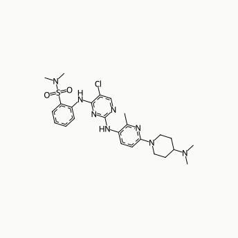 Cc1nc(N2CCC(N(C)C)CC2)ccc1Nc1ncc(Cl)c(Nc2ccccc2S(=O)(=O)N(C)C)n1